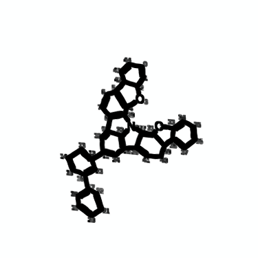 C1=CC2Oc3c(ccc4c5cc(-c6cccc(-c7ccccc7)c6)cc6c7c(n(c34)c65)=C3Oc4ccccc4C3CC=7)C2C=C1